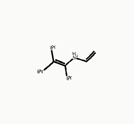 C=C[SiH2]C(=C(C(C)C)C(C)C)C(C)C